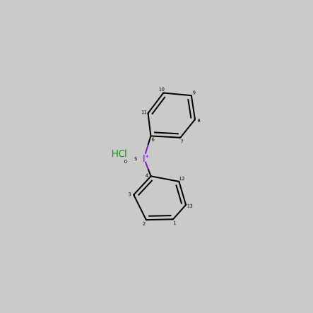 Cl.c1ccc([I+]c2ccccc2)cc1